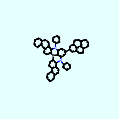 c1ccc(N2c3cc(-c4cc5ccc6cccc7ccc(c4)c5c67)cc4c3B(c3ccc5c(ccc6ccccc65)c32)c2ccc3c(ccc5ccccc53)c2N4c2ccccc2)cc1